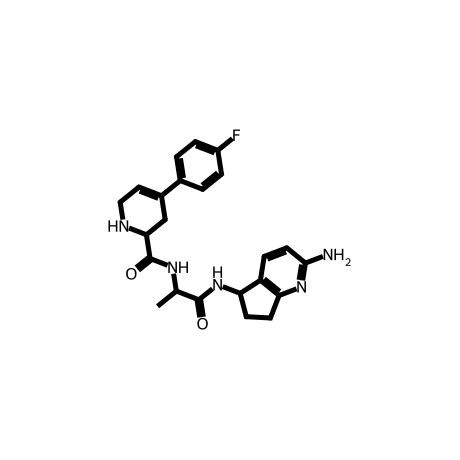 CC(NC(=O)C1CC(c2ccc(F)cc2)=CCN1)C(=O)NC1CCc2nc(N)ccc21